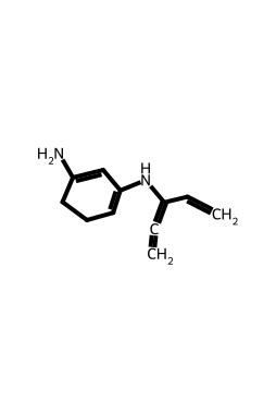 C=C=C(C=C)NC1=CCCC(N)=C1